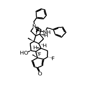 C[C@]12C=CC(=O)C=C1[C@@H](F)C[C@H]1[C@@H]3C[C@H]4CN(Cc5ccccc5)C[C@@]4(C(=O)NCc4ccccc4)[C@@]3(C)C[C@H](O)[C@@]12F